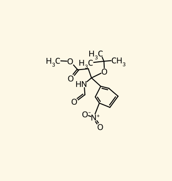 COC(=O)CC(NC=O)(OC(C)(C)C)c1cccc([N+](=O)[O-])c1